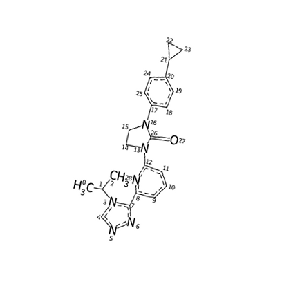 CC(C)n1cnnc1-c1cccc(N2CCN(c3ccc(C4CC4)cc3)C2=O)n1